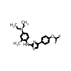 CCN(CC)c1ccc(Nc2nc(-c3ccc(OC(F)F)cc3)cs2)c(C)c1